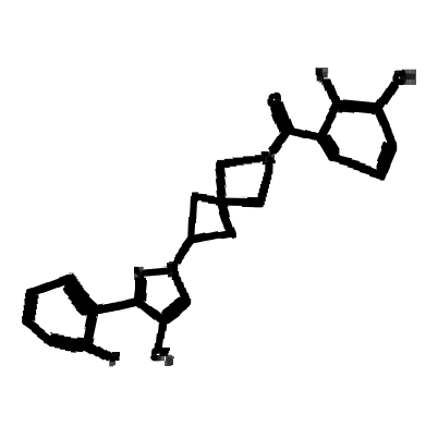 O=C(c1cccc(O)c1F)N1CC2(CC(n3cc(C(F)(F)F)c(-c4ccccc4F)n3)C2)C1